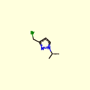 CC(C)n1ccc(CBr)n1